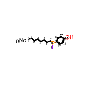 CCCCCCCCCCCCCCCCP(I)c1ccc(O)cc1